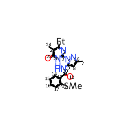 CCc1nc(-n2nc(C)cc2NC(=O)c2ccccc2SC)[nH]c(=O)c1C